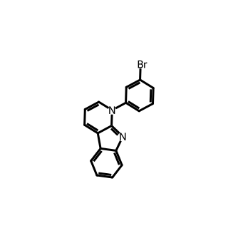 Brc1cccc(-n2cccc3c4ccccc4nc2-3)c1